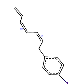 C=C/C=C\C=C/Cc1ccc(I)cc1